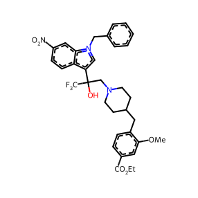 CCOC(=O)c1ccc(CC2CCN(CC(O)(c3cn(Cc4ccccc4)c4cc([N+](=O)[O-])ccc34)C(F)(F)F)CC2)c(OC)c1